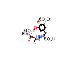 CCOC(=O)Oc1ccc(C[C@H](NCC(C)OC(=O)OC(C)(C)C)C(=O)O)cc1OC(=O)OCC